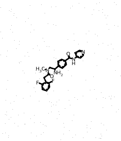 CN(CC(N)c1ccc(C(=O)Nc2ccncc2)cc1)C(=O)Cc1c(F)cccc1F